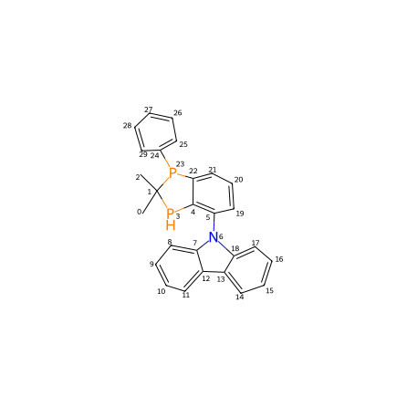 CC1(C)Pc2c(-n3c4ccccc4c4ccccc43)cccc2P1c1ccccc1